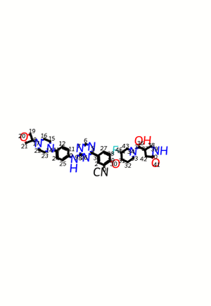 N#Cc1cc(-c2ncnc(Nc3ccc(N4CCN(C5COC5)CC4)cc3)n2)ccc1O[C@H]1CCN([C@@H](O)C2CNC(=O)C2)C[C@H]1F